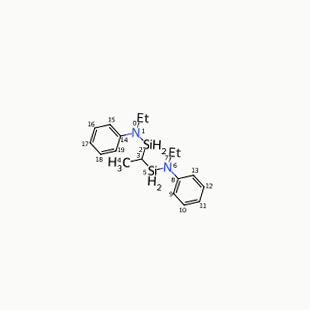 CCN([SiH2]C(C)[SiH2]N(CC)c1ccccc1)c1ccccc1